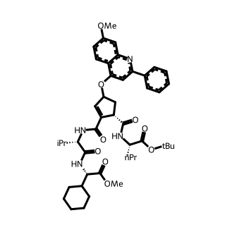 CCC[C@H](NC(=O)[C@H]1CC(Oc2cc(-c3ccccc3)nc3cc(OC)ccc23)C=C1C(=O)N[C@H](C(=O)N[C@H](C(=O)OC)C1CCCCC1)C(C)C)C(=O)OC(C)(C)C